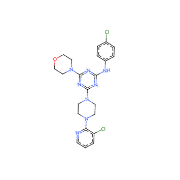 Clc1ccc(Nc2nc(N3CCOCC3)nc(N3CCN(c4ncccc4Cl)CC3)n2)cc1